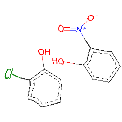 O=[N+]([O-])c1ccccc1O.Oc1ccccc1Cl